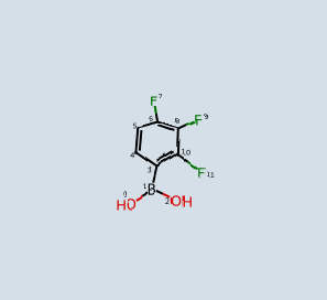 OB(O)c1ccc(F)c(F)c1F